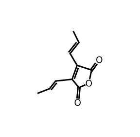 CC=CC1=C(C=CC)C(=O)OC1=O